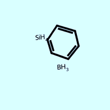 B.[SiH4].c1ccccc1